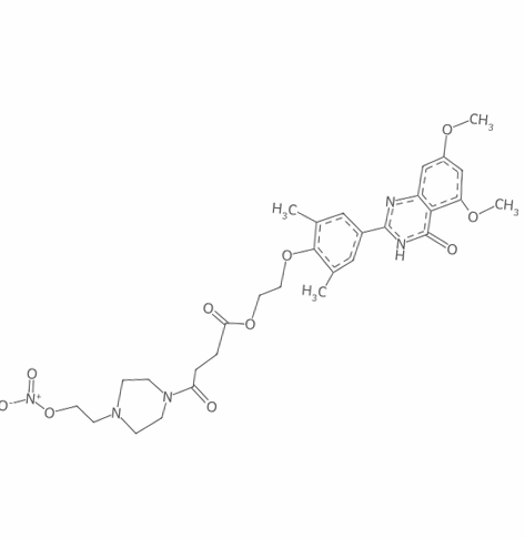 COc1cc(OC)c2c(=O)[nH]c(-c3cc(C)c(OCCOC(=O)CCC(=O)N4CCN(CCO[N+](=O)[O-])CC4)c(C)c3)nc2c1